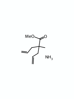 C=CCC(C)(CC=C)C(=O)OC.N